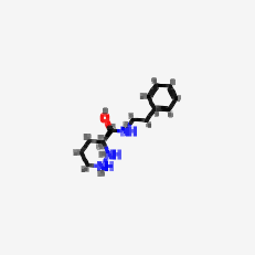 O=C(NCCc1ccccc1)[C@@H]1CCCNN1